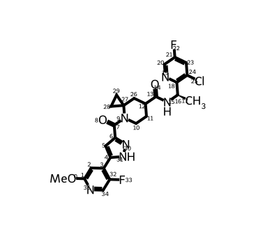 COc1cc(-c2cc(C(=O)N3CCC(C(=O)N[C@H](C)c4ncc(F)cc4Cl)CC34CC4)n[nH]2)c(F)cn1